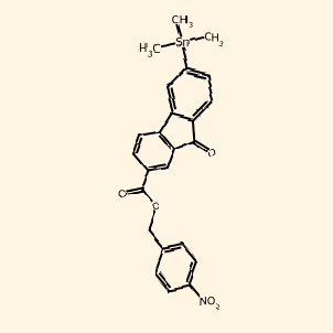 [CH3][Sn]([CH3])([CH3])[c]1ccc2c(c1)-c1ccc(C(=O)OCc3ccc([N+](=O)[O-])cc3)cc1C2=O